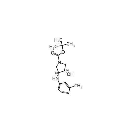 Cc1cccc(N[C@H]2CN(C(=O)OC(C)(C)C)C[C@@H]2O)c1